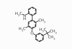 CNc1ccccc1-c1cc(C)c(Oc2cccc(C(C)(C)C)c2)cc1C